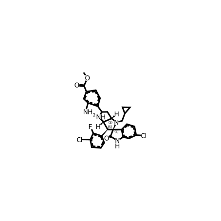 COC(=O)c1ccc(C2C[C@H]3[C@@H](N2)[C@H](c2cccc(Cl)c2F)[C@]2(C(=O)Nc4cc(Cl)ccc42)N3CC2CC2)c(N)c1